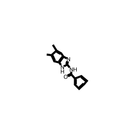 Cc1cc2nc(NC(=O)c3ccccc3)[nH]c2cc1C